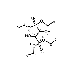 CCOP(=O)(OCC)C(O)C(O)P(=O)(OCC)OCC